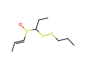 CC=C[S+]([O-])C(CC)SSCCC